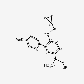 CSc1ccc(-c2cc(C(CC(C)C)C(=O)O)ccc2OCC2CC2)cc1